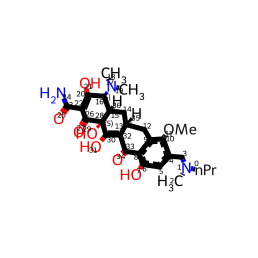 CCCN(C)Cc1cc(O)c2c(c1OC)C[C@H]1C[C@H]3[C@H](N(C)C)C(O)=C(C(N)=O)C(=O)[C@@]3(O)C(O)=C1C2=O